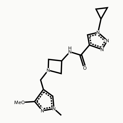 COc1nn(C)cc1CN1CC(NC(=O)c2cn(C3CC3)nn2)C1